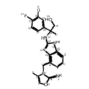 Cc1coc(=N)n1Cc1cccc2[nH]c(NC(C)(CO)c3ccc(F)c(Cl)c3)nc12